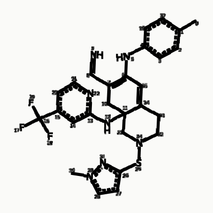 Cc1ccc(NC2=C(C=N)CC3(Nc4cc(C(F)(F)F)ccn4)CN(Sc4ccn(C)n4)CCC3=C2)cc1